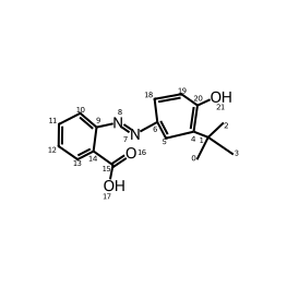 CC(C)(C)c1cc(N=Nc2ccccc2C(=O)O)ccc1O